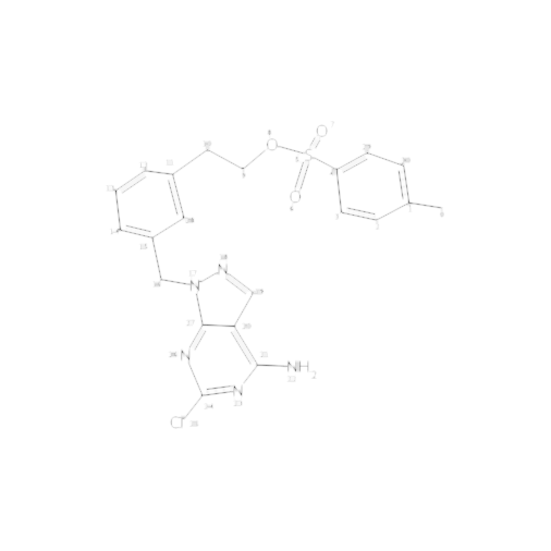 Cc1ccc(S(=O)(=O)OCCc2cccc(Cn3ncc4c(N)nc(Cl)nc43)c2)cc1